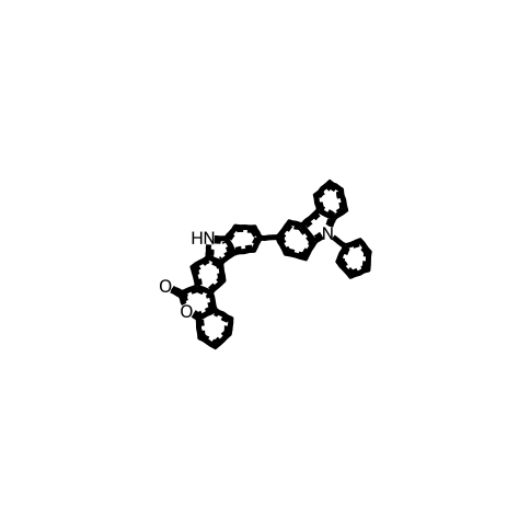 O=c1oc2ccccc2c2cc3c(cc12)[nH]c1ccc(-c2ccc4c(c2)c2ccccc2n4-c2ccccc2)cc13